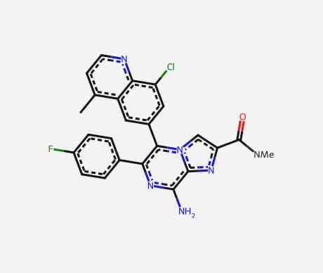 CNC(=O)c1cn2c(-c3cc(Cl)c4nccc(C)c4c3)c(-c3ccc(F)cc3)nc(N)c2n1